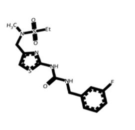 CCS(=O)(=O)N(C)Cc1csc(NC(=O)NCc2cccc(F)c2)n1